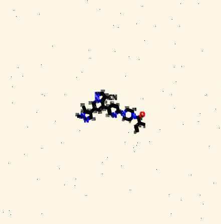 C=CC(C)C(=O)N1CCN(c2ccc(-c3cc(-c4cnn(C)c4C)cn4ncc(C#N)c34)cn2)CC1